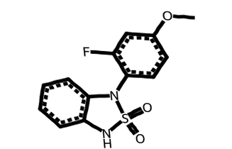 COc1ccc(N2c3ccccc3NS2(=O)=O)c(F)c1